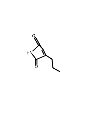 CCCC1=CC(=O)NC1=O